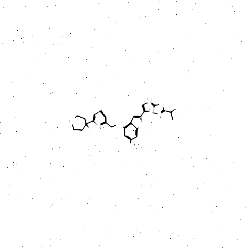 COc1cc(OCc2cccc(C3(F)CCOCC3)n2)c2cc(-c3cnc4sc(C(C)F)nn34)oc2c1